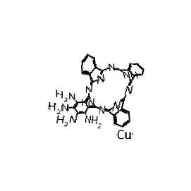 Nc1c(N)c(N)c2c3nc4nc(nc5[nH]c(nc6nc(nc([nH]3)c2c1N)-c1ccccc1-6)c1ccccc51)-c1ccccc1-4.[Cu]